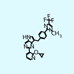 Cn1cc(C(F)(F)F)nc1-c1ccc(Cc2c[nH]c3cnc(-c4cccnc4OC4CC4)nc23)cc1